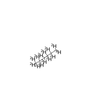 [2H][C]([2H])C([2H])([2H])C([2H])([2H])C([2H])([2H])C([2H])([2H])C([2H])([2H])[2H]